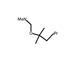 CNCOC(C)(C)CC(C)C